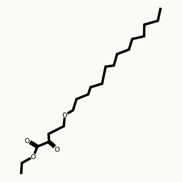 CCCCCCCCCCCCCCOCCC(=O)C(=O)OCC